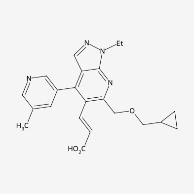 CCn1ncc2c(-c3cncc(C)c3)c(C=CC(=O)O)c(COCC3CC3)nc21